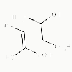 CCC/C=C(\O)C(=O)O.O=C(O)CC(O)C(=O)O